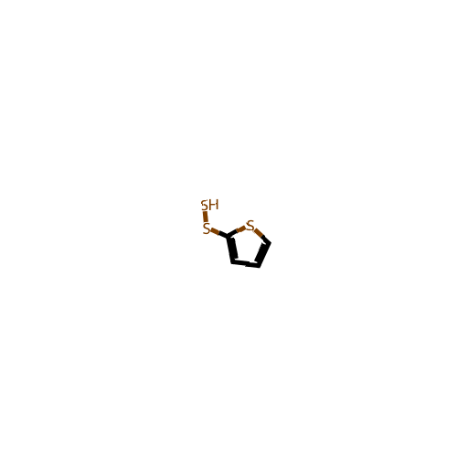 SSc1cccs1